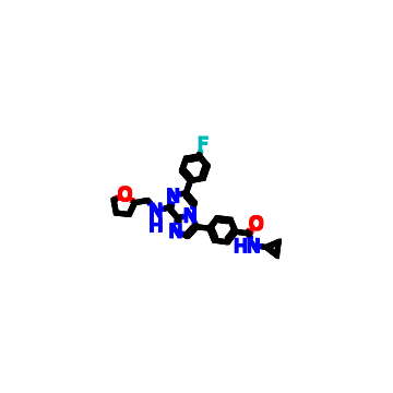 O=C(NC1CC1)c1ccc(-c2cnc3c(NCC4CCCO4)nc(-c4ccc(F)cc4)cn23)cc1